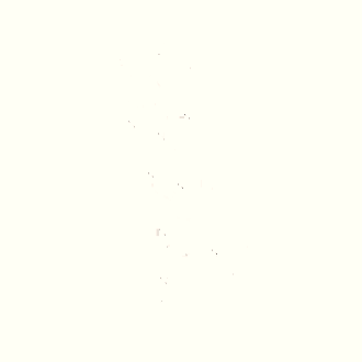 C=CC(=O)N1C[C@@H](CN(C)C)[C@@H](NC(=O)c2c(C)nc(CNC(=N)c3cc(C(C)(C)C)c(Cl)cc3N)n2C)C1